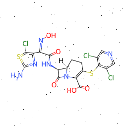 Nc1nc(/C(=N/O)C(=O)N[C@@H]2C(=O)N3C(C(=O)O)=C(Sc4c(Cl)cncc4Cl)CC[C@H]23)c(Cl)s1